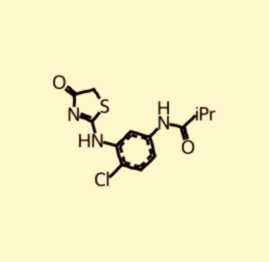 CC(C)C(=O)Nc1ccc(Cl)c(NC2=NC(=O)CS2)c1